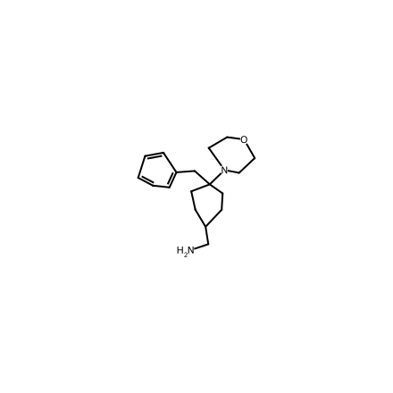 NCC1CCC(Cc2ccccc2)(N2CCOCC2)CC1